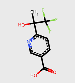 CC(O)(c1ccc(C(=O)O)cn1)C(F)(F)F